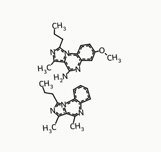 CCCc1nc(C)c2c(C)nc3ccccc3n12.CCCc1nc(C)c2c(N)nc3cc(OC)ccc3n12